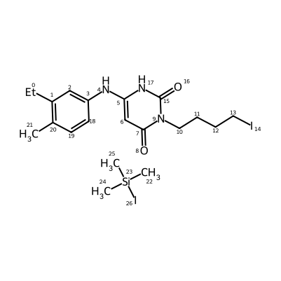 CCc1cc(Nc2cc(=O)n(CCCCI)c(=O)[nH]2)ccc1C.C[Si](C)(C)I